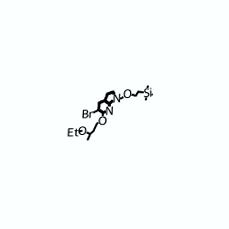 CCOC(C)CCOc1nc2c(ccn2COCC[Si](C)(C)C)cc1Br